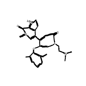 Cc1cccc(C)c1Oc1cn(CCN(C)C)c(=O)cc1-c1cn(C)c(=O)c2[nH]ccc12